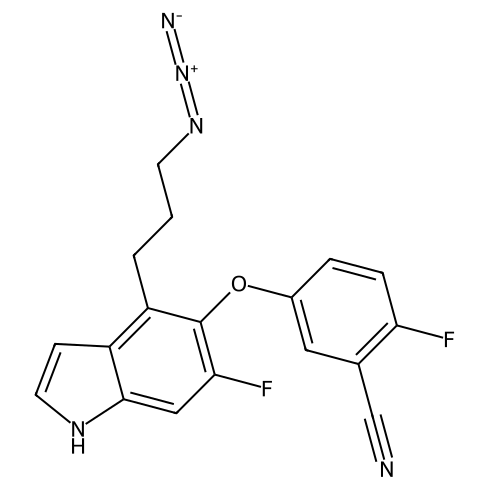 N#Cc1cc(Oc2c(F)cc3[nH]ccc3c2CCCN=[N+]=[N-])ccc1F